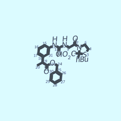 CCCCC1(C(=O)O)SCCN1C(=O)CNC(=O)Nc1cccc(C(C)C(=O)OCc2ccccc2)c1